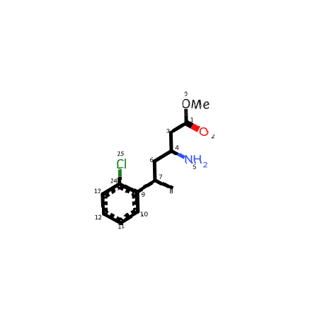 COC(=O)CC(N)CC(C)c1ccccc1Cl